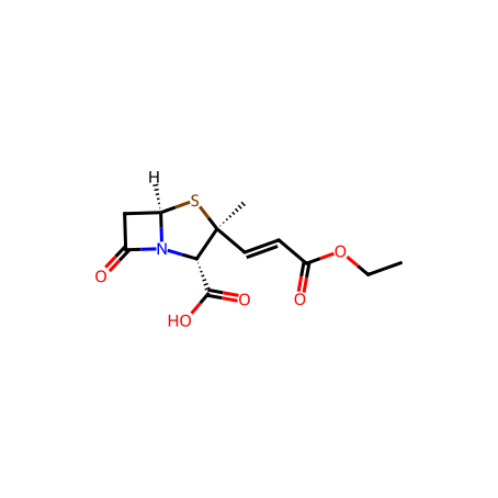 CCOC(=O)/C=C/[C@]1(C)S[C@@H]2CC(=O)N2[C@H]1C(=O)O